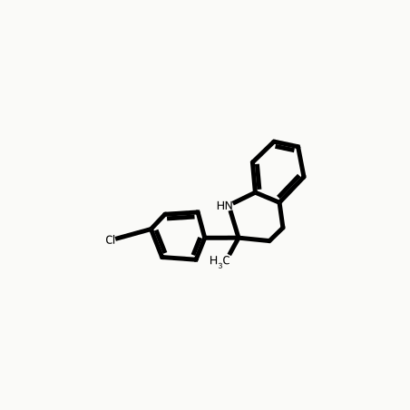 CC1(c2ccc(Cl)cc2)CCc2ccccc2N1